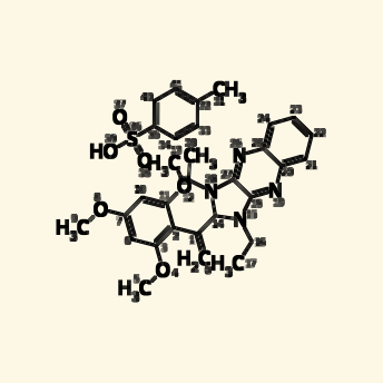 C=C(c1c(OC)cc(OC)cc1OC)C1N(CC)c2nc3ccccc3nc2N1CC.Cc1ccc(S(=O)(=O)O)cc1